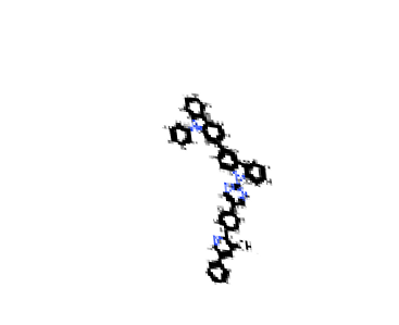 Cc1cc(-c2ccccc2)cnc1-c1ccc(-c2cnc(-n3c4ccccc4c4cc(-c5ccc6c7ccccc7n(-c7ccccc7)c6c5)ccc43)nc2)cc1